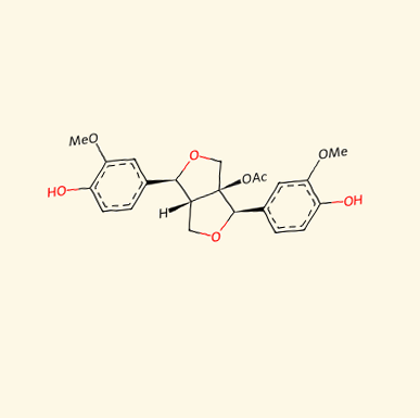 COc1cc([C@H]2OC[C@]3(OC(C)=O)[C@@H](c4ccc(O)c(OC)c4)OC[C@H]23)ccc1O